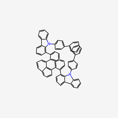 c1ccc(-c2ccc(-n3c4ccccc4c4cccc(-c5ccccc5-c5cccc6cccc(-c7ccccc7-c7cccc8c9ccccc9n(-c9ccc(-c%10ccccc%10)cc9)c78)c56)c43)cc2)cc1